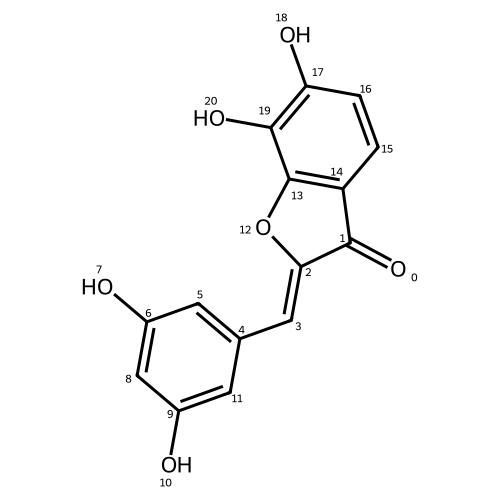 O=C1/C(=C/c2cc(O)cc(O)c2)Oc2c1ccc(O)c2O